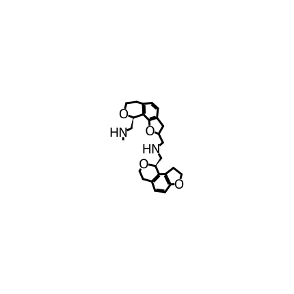 CNC[C@H]1OCCc2ccc3c(c21)OC(CNC[C@@H]1OCCc2ccc4c(c21)CCO4)C3